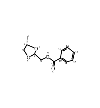 O=C(OCC1OC[C@H](I)O1)c1ccccc1